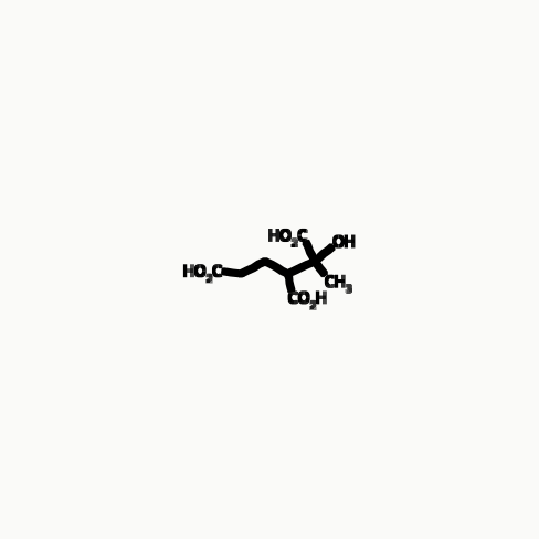 CC(O)(C(=O)O)C(CCC(=O)O)C(=O)O